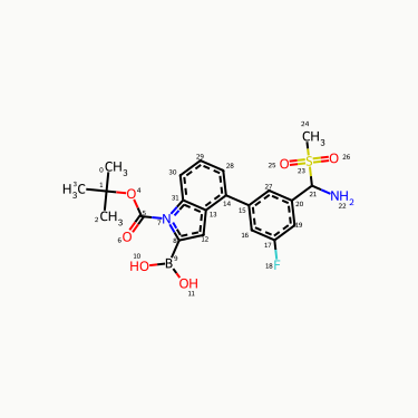 CC(C)(C)OC(=O)n1c(B(O)O)cc2c(-c3cc(F)cc(C(N)S(C)(=O)=O)c3)cccc21